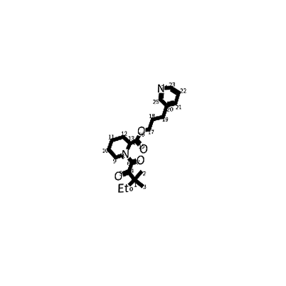 CCC(C)(C)C(=O)C(=O)N1CCCCC1C(=O)OCCCc1cccnc1